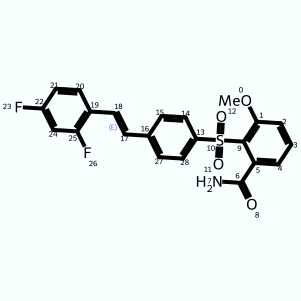 COc1cccc(C(N)=O)c1S(=O)(=O)c1ccc(/C=C/c2ccc(F)cc2F)cc1